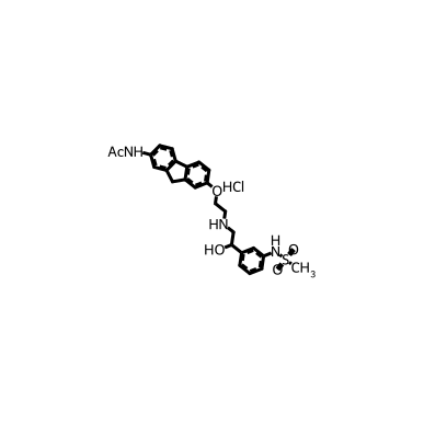 CC(=O)Nc1ccc2c(c1)Cc1cc(OCCNCC(O)c3cccc(NS(C)(=O)=O)c3)ccc1-2.Cl